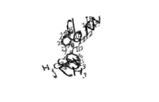 CC(C)(C)Oc1ccc(CCC(Cn2ccnc2)Oc2ccccc2Cl)cc1